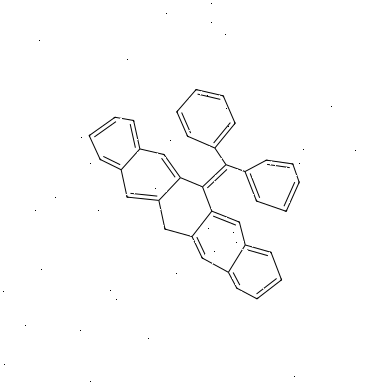 c1ccc(C(=C2c3cc4ccccc4cc3Cc3cc4ccccc4cc32)c2ccccc2)cc1